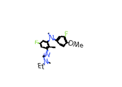 CCN(C)/C=N/c1cc(F)cc(N(C)c2ccc(OC)c(F)c2)c1C